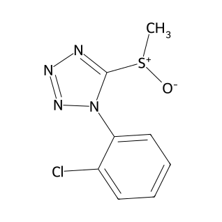 C[S+]([O-])c1nnnn1-c1ccccc1Cl